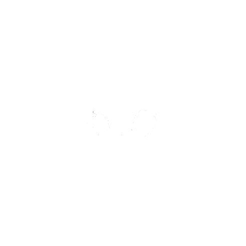 [c]1ccc(Cc2ccsc2)cc1